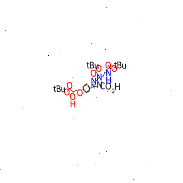 CC(C)(C)OC(=O)NCCN(C(=O)OC(C)(C)C)C1=N[C@@H](c2ccc(OCC(O)C(=O)OC(C)(C)C)cc2)CN1C(=O)O